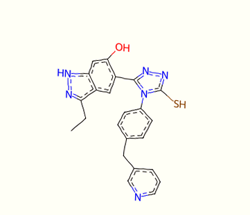 CCc1n[nH]c2cc(O)c(-c3nnc(S)n3-c3ccc(Cc4cccnc4)cc3)cc12